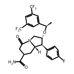 C[C@@H](O[C@H]1CN2C(=O)CC(C(N)=O)C[C@H]2[C@@H]1c1ccc(F)cc1)c1cc(C(F)(F)F)cc(C(F)(F)F)c1